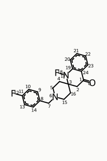 O=C1CC2(CCN(Cc3ccc(F)cc3)CC2)N(F)c2ccccc21